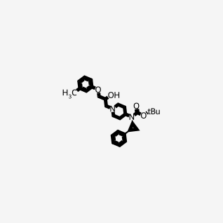 Cc1cccc(OCC(O)CN2CCC(N(C(=O)OC(C)(C)C)[C@@H]3C[C@H]3c3ccccc3)CC2)c1